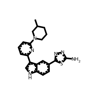 CC1CCCN(c2cccc(-c3c[nH]c4ccc(-c5nnc(N)s5)cc34)n2)C1